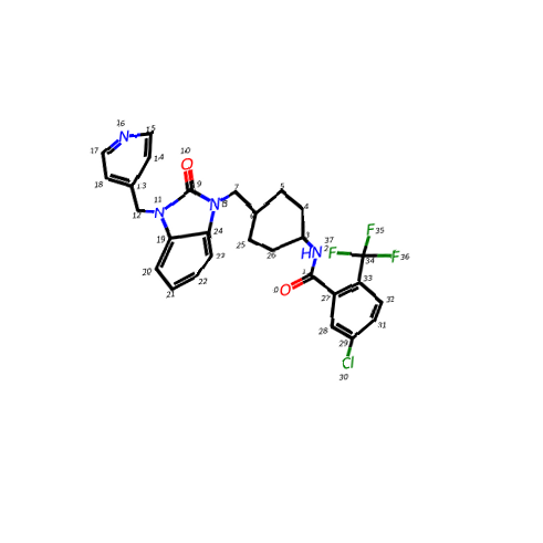 O=C(NC1CCC(Cn2c(=O)n(Cc3ccncc3)c3ccccc32)CC1)c1cc(Cl)ccc1C(F)(F)F